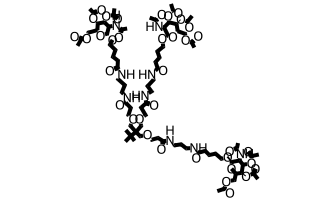 CC(=O)NC1C(OC(C)=O)[C@H](OC(C)=O)C(COC(C)=O)O[C@H]1OCCCCC(=O)NCCCNC(=O)CCOCC(COCCC(=O)NCCCNC(=O)CCCCO[C@@H]1OC(COC(C)=O)[C@@H](OC(C)=O)C(OC(C)=O)C1NC(C)=O)(COCCC(=O)NCCCNC(=O)CCCCO[C@@H]1OC(COC(C)=O)[C@@H](OC(C)=O)C(OC(C)=O)C1NC(C)=O)C(C)(C)C